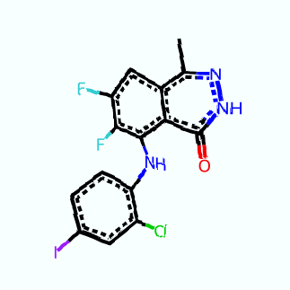 Cc1n[nH]c(=O)c2c(Nc3ccc(I)cc3Cl)c(F)c(F)cc12